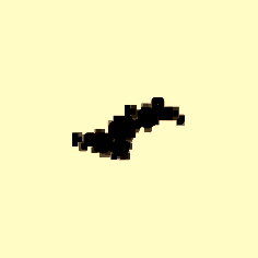 NC(=O)c1ccc(CNc2ncnc(N3CCC[C@@H]3c3ccc(C(F)(F)F)cc3)c2F)cc1